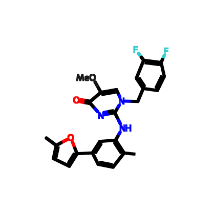 COc1cn(Cc2ccc(F)c(F)c2)c(Nc2cc(-c3ccc(C)o3)ccc2C)nc1=O